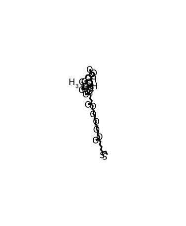 CC(C)[C@]12O[C@H]1C(C)[C@@]13O[C@@]14CCC1=C(COC1=O)[C@@H]4C[C@@H]1O[C@@]13[C@@H]2OC(=O)CCCC(=O)OCCOCCOCCOCCOC(=O)CCCCC1CCSS1